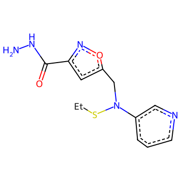 CCSN(Cc1cc(C(=O)NN)no1)c1cccnc1